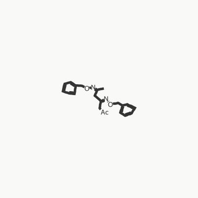 CC(=O)CC(CC(C)=NOCc1ccccc1)=NOCc1ccccc1